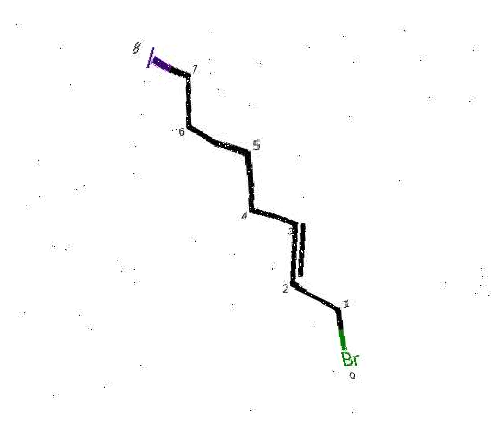 BrCC=CCCCCI